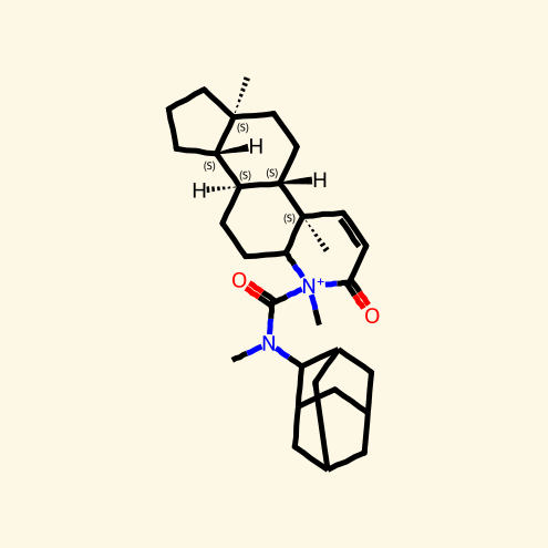 CN(C(=O)[N+]1(C)C(=O)C=C[C@@]2(C)C1CC[C@H]1[C@@H]3CCC[C@@]3(C)CC[C@@H]12)C1C2CC3CC(C2)CC1C3